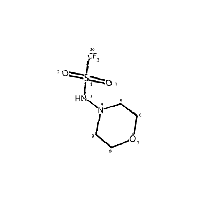 O=S(=O)(NN1CCOCC1)C(F)(F)F